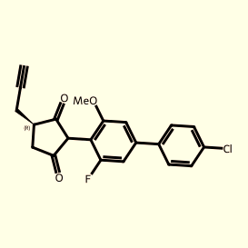 C#CC[C@@H]1CC(=O)C(c2c(F)cc(-c3ccc(Cl)cc3)cc2OC)C1=O